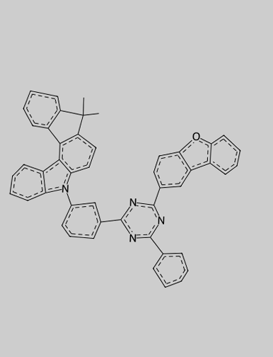 CC1(C)c2ccccc2-c2c1ccc1c2c2ccccc2n1-c1cccc(-c2nc(-c3ccccc3)nc(-c3ccc4oc5ccccc5c4c3)n2)c1